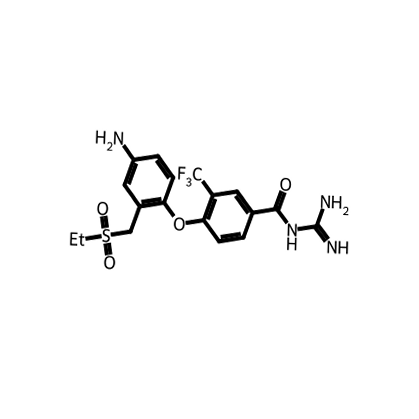 CCS(=O)(=O)Cc1cc(N)ccc1Oc1ccc(C(=O)NC(=N)N)cc1C(F)(F)F